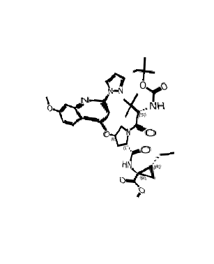 CC[C@@H]1C[C@]1(NC(=O)[C@@H]1C[C@@H](Oc2cc(-n3cccn3)nc3cc(OC)ccc23)CN1C(=O)[C@@H](NC(=O)OC(C)(C)C)C(C)(C)C)C(=O)OC